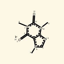 Cn1c(=O)c2c(ncn2C)n(C)c1=O.[Ir]